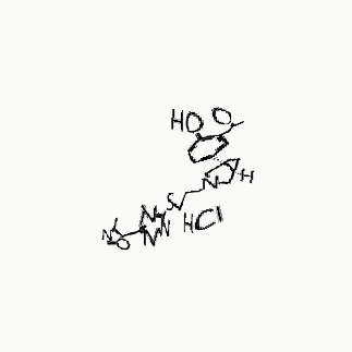 CC(=O)c1cc([C@]23C[C@H]2CN(CCCSc2nnc(-c4ocnc4C)n2C)C3)ccc1O.Cl